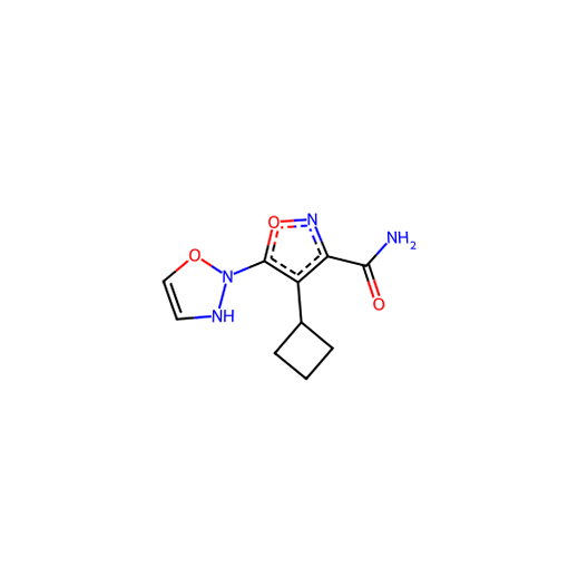 NC(=O)c1noc(N2NC=CO2)c1C1CCC1